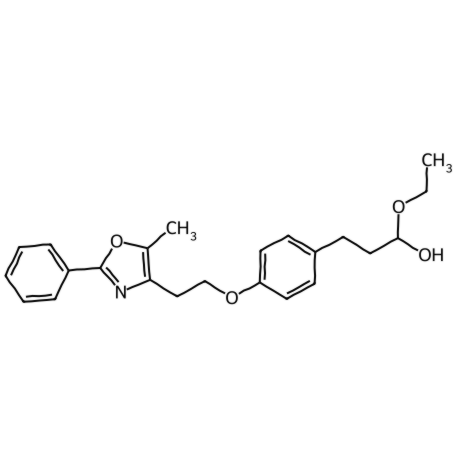 CCOC(O)CCc1ccc(OCCc2nc(-c3ccccc3)oc2C)cc1